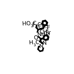 Cc1c(N2CCCCC2)nc2ccc(Br)cc2c1C(=O)NCC(CCC(=O)O)C(C)(C)Cc1c(F)cccc1C(F)(F)F